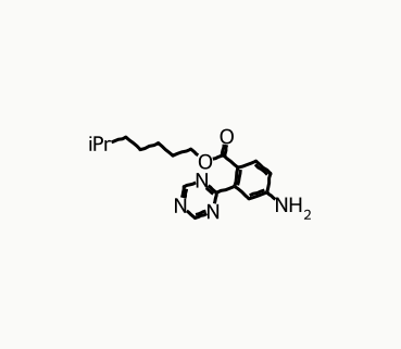 CC(C)CCCCCOC(=O)c1ccc(N)cc1-c1ncncn1